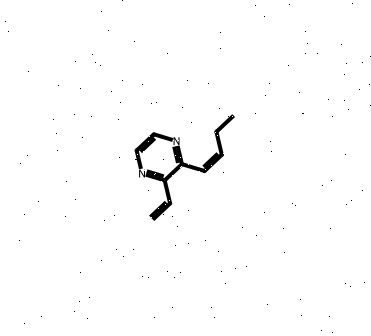 C=Cc1nccnc1/C=C\CC